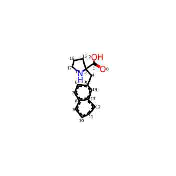 O=C(O)C1(Cc2ccc3ccccc3c2)CCCN1